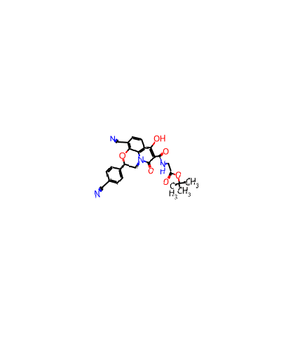 CC(C)(C)OC(=O)CNC(=O)c1c(O)c2ccc(C#N)c3c2n(c1=O)CC(c1ccc(C#N)cc1)O3